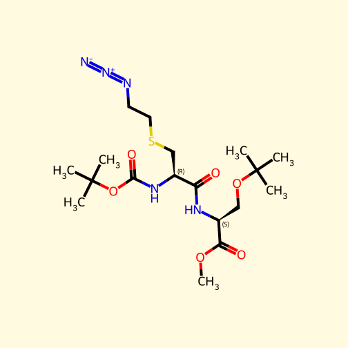 COC(=O)[C@H](COC(C)(C)C)NC(=O)[C@H](CSCCN=[N+]=[N-])NC(=O)OC(C)(C)C